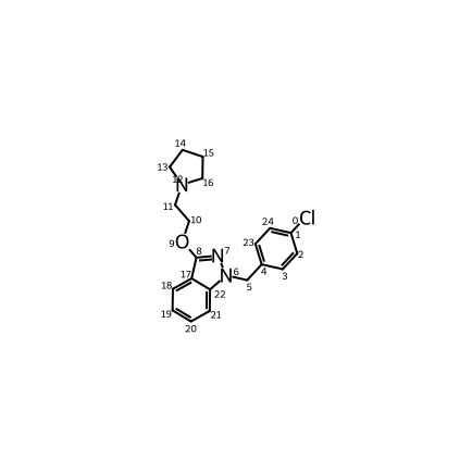 Clc1ccc(Cn2nc(OCCN3CCCC3)c3ccccc32)cc1